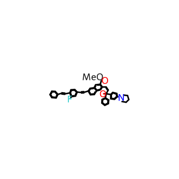 COC(=O)c1cc2cc(C#Cc3ccc(C#Cc4ccccc4)c(F)c3)ccc2c2c1C=CC(c1ccccc1)(c1ccc(N3CCCCC3)cc1)O2